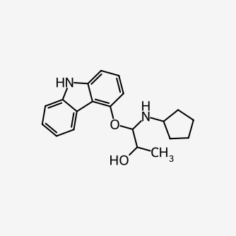 CC(O)C(NC1CCCC1)Oc1cccc2[nH]c3ccccc3c12